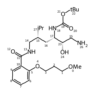 COCCCOc1ccccc1C(=O)NC[C@@H](C[C@H](NC(=O)OC(C)(C)C)[C@@H](O)CN)C(C)C